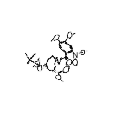 COC(=O)[C@@H]1C[C@H](O[Si](C)(C)C(C)(C)C)CCN1C(=O)c1cc(OC)c(OC)cc1[N+](=O)[O-]